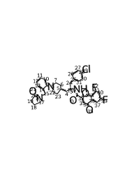 O=C(N[C@@H](C=C1CCN(c2ccccc2CN2CCCC2=O)CC1)Cc1ccc(Cl)cc1)c1cc(=O)c2cc(F)cc(F)c2o1